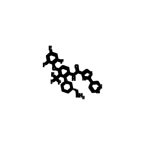 NC[C@@H]1CCCN(c2c(NC(=O)c3csc(-c4ccnnc4)n3)ccc(Oc3c(F)cc(F)cc3F)c2C(F)(F)F)C1